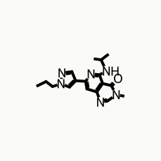 CCCn1cc(-c2cc3ncn(C)c(=O)c3c(NC(C)C)n2)cn1